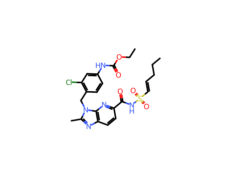 CCCC=CS(=O)(=O)NC(=O)c1ccc2nc(C)n(Cc3ccc(NC(=O)OCC)cc3Cl)c2n1